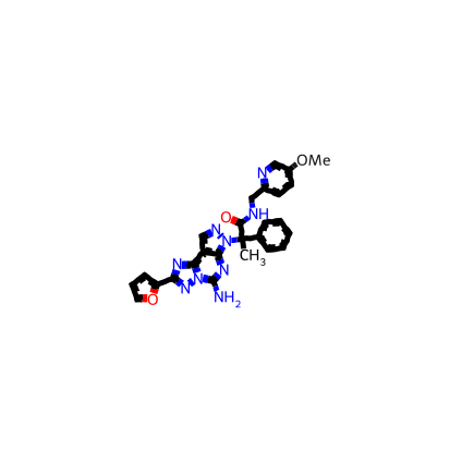 COc1ccc(CNC(=O)C(C)(c2ccccc2)n2ncc3c2nc(N)n2nc(-c4ccco4)nc32)nc1